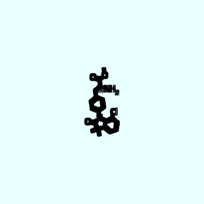 COC(=O)[C@@H](N)Cc1ccc(N2C(=O)C(C)(C)c3cccc(Cl)c32)cc1